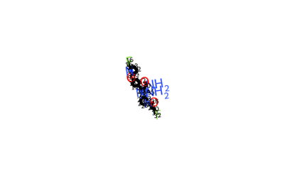 NC(=O)c1c(-c2ccc(Oc3cccc(CF)n3)cc2)nn([C@@H]2CCCN(C(=O)/C=C/CF)C2)c1N